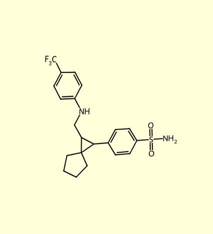 NS(=O)(=O)c1ccc(C2C(CNc3ccc(C(F)(F)F)cc3)C23CCCC3)cc1